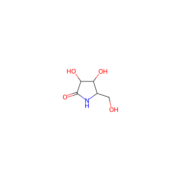 O=C1NC(CO)C(O)C1O